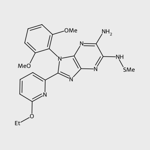 CCOc1cccc(-c2nc3nc(NSC)c(N)nc3n2-c2c(OC)cccc2OC)n1